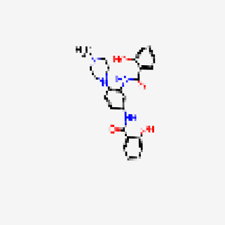 CN1CCN(c2ccc(NC(=O)c3ccccc3O)cc2NC(=O)c2ccccc2O)CC1